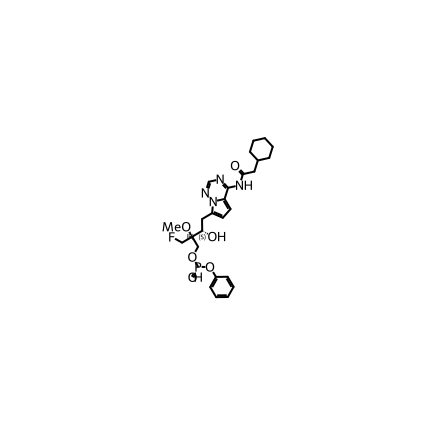 CO[C@](CF)(CO[PH](=O)Oc1ccccc1)[C@@H](O)Cc1ccc2c(NC(=O)CC3CCCCC3)ncnn12